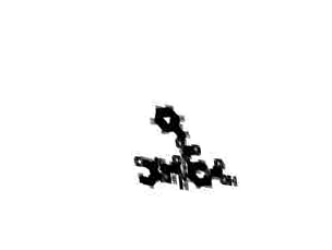 CCc1[nH]c(C(=O)N[C@H]2CCN(C(=O)O)C[C@@H]2NC(=O)OCc2ccccc2)nc1Cl